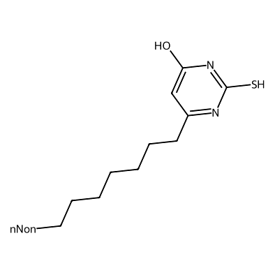 CCCCCCCCCCCCCCCCc1cc(O)nc(S)n1